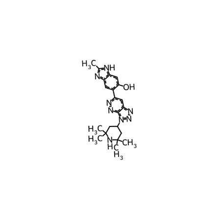 Cc1nc2cc(-c3cc4nnn(C5CC(C)(C)NC(C)(C)C5)c4nn3)c(O)cc2[nH]1